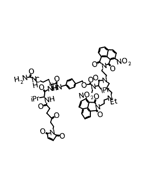 CCN(CCCN(CCN1C(=O)c2cccc3ccc([N+](=O)[O-])c(c23)C1=O)C(=O)C(C(C)C)N(C)C(=O)OCc1ccc(NC(=O)[C@H](CCCNC(N)=O)NC(=O)C(NC(=O)CCC(=O)CCN2C(=O)C=CC2=O)C(C)C)cc1)CCN1C(=O)c2cccc3ccc([N+](=O)[O-])c(c23)C1=O